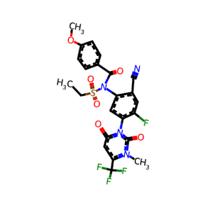 CCS(=O)(=O)N(C(=O)c1ccc(OC)cc1)c1cc(-n2c(=O)cc(C(F)(F)F)n(C)c2=O)c(F)cc1C#N